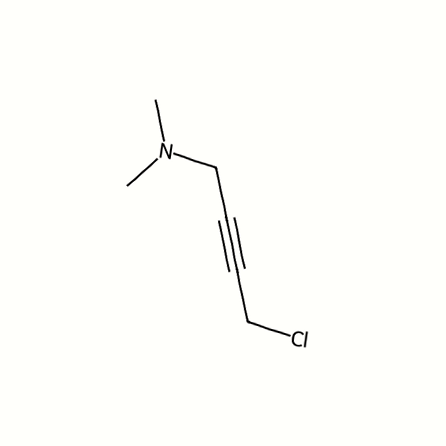 CN(C)CC#CCCl